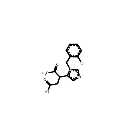 CC(=S)C(CC(=O)O)c1cncn1Cc1ccccc1Cl